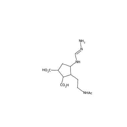 CC(=O)NCCC1C(NC=NN)CC(C(=O)O)C1C(=O)O